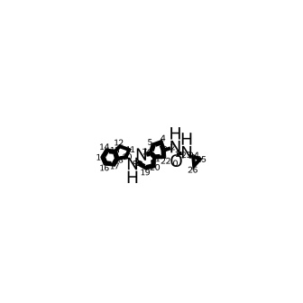 O=C(Nc1ccc2nc(N[C@@H]3CCc4ccccc43)ccc2c1)NC1CC1